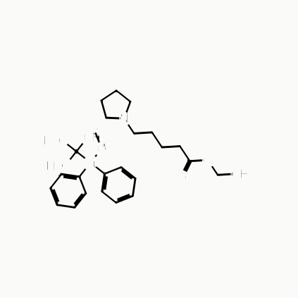 CCOC(=O)CCCCN1CCC[C@H]1CO[Si](c1ccccc1)(c1ccccc1)C(C)(C)C